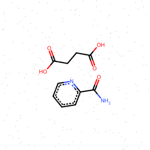 NC(=O)c1ccccn1.O=C(O)CCC(=O)O